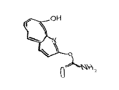 NC(=O)Oc1ccc2cccc(O)c2n1